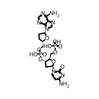 Nc1ccn([C@H]2C[C@H](OP(=O)(O)OC[C@@H]3CC[C@H](n4cnc5c(N)ncnc54)O3)[C@@H](COP(=O)(O)O)O2)c(=O)n1